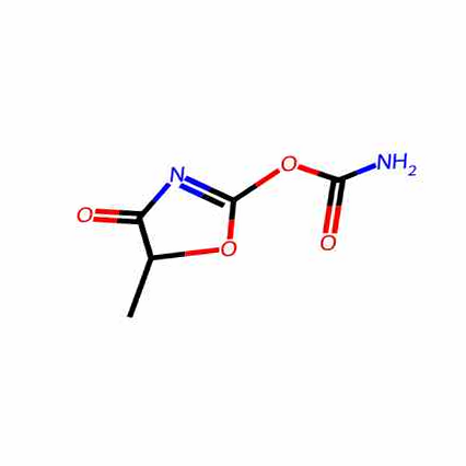 CC1OC(OC(N)=O)=NC1=O